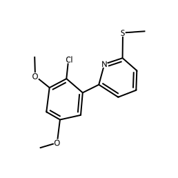 COc1cc(OC)c(Cl)c(-c2cccc(SC)n2)c1